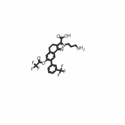 NCCCn1nc2c(c1C(=O)O)CCc1cc(OC(=O)C(F)(F)F)c(-c3cccc(C(F)(F)F)c3)cc1-2